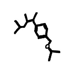 CC(C)CC(C)C(C)c1ccc(COC(C)C)cc1